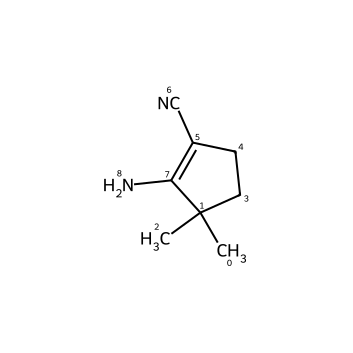 CC1(C)CCC(C#N)=C1N